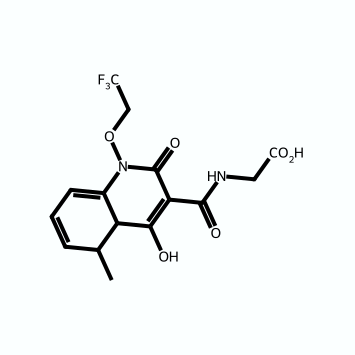 CC1C=CC=C2C1C(O)=C(C(=O)NCC(=O)O)C(=O)N2OCC(F)(F)F